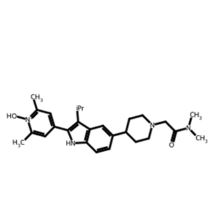 Cc1cc(-c2[nH]c3ccc(C4CCN(CC(=O)N(C)C)CC4)cc3c2C(C)C)cc(C)[n+]1O